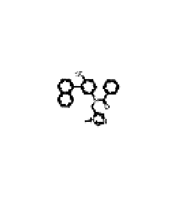 Cn1cncc1CN(C(=O)c1ccccc1)c1ccc(C#N)c(-c2cccc3ccccc23)c1